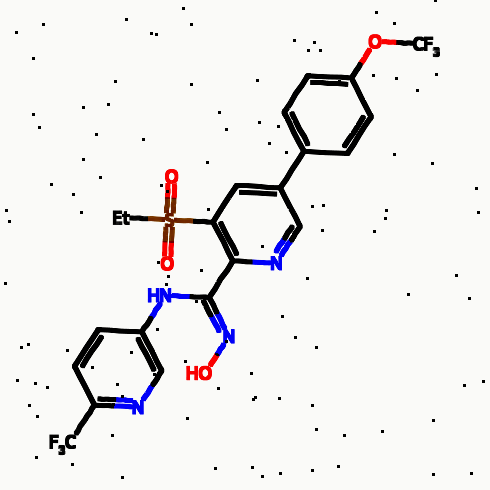 CCS(=O)(=O)c1cc(-c2ccc(OC(F)(F)F)cc2)cnc1C(=NO)Nc1ccc(C(F)(F)F)nc1